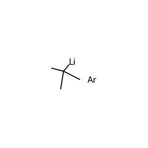 [Ar].[Li][C](C)(C)C